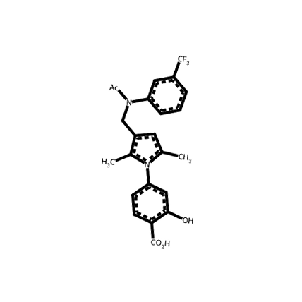 CC(=O)N(Cc1cc(C)n(-c2ccc(C(=O)O)c(O)c2)c1C)c1cccc(C(F)(F)F)c1